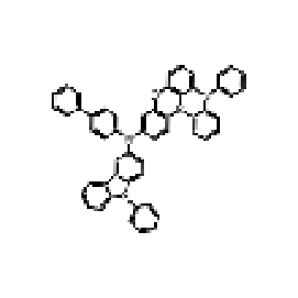 c1ccc(-c2ccc(N(c3ccc4c(c3)Oc3cccc5c3B4c3ccccc3N5c3ccccc3)c3ccc4c(c3)c3ccccc3n4-c3ccccc3)cc2)cc1